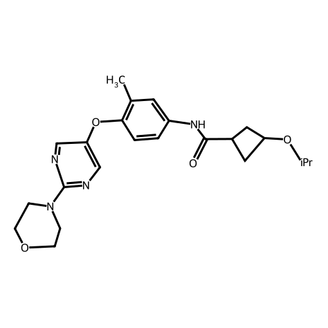 Cc1cc(NC(=O)C2CC(OC(C)C)C2)ccc1Oc1cnc(N2CCOCC2)nc1